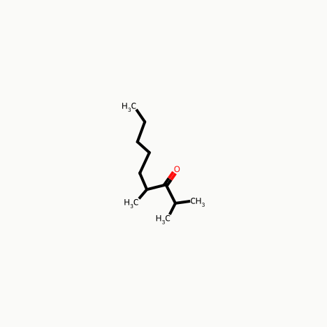 CCCCCC(C)C(=O)C(C)C